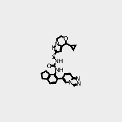 O=C(NSc1cc2n(n1)CCOC2C1CC1)Nc1c(-c2ccc3nncn3c2)ccc2c1CCC2